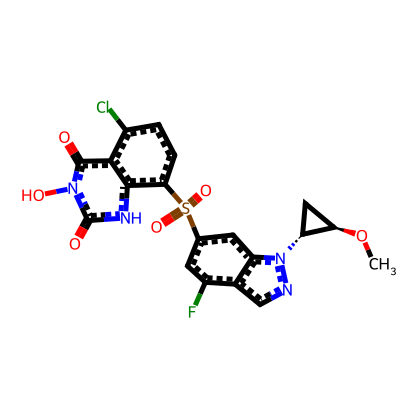 CO[C@@H]1C[C@H]1n1ncc2c(F)cc(S(=O)(=O)c3ccc(Cl)c4c(=O)n(O)c(=O)[nH]c34)cc21